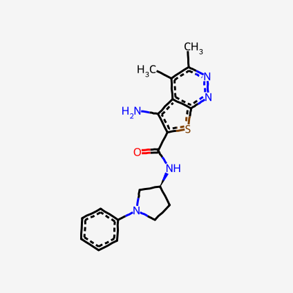 Cc1nnc2sc(C(=O)N[C@H]3CCN(c4ccccc4)C3)c(N)c2c1C